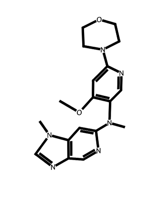 COc1cc(N2CCOCC2)ncc1N(C)c1cc2c(cn1)ncn2C